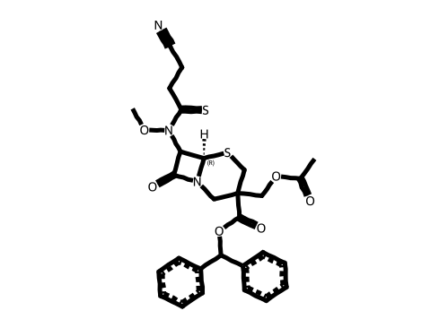 CON(C(=S)CCC#N)C1C(=O)N2CC(COC(C)=O)(C(=O)OC(c3ccccc3)c3ccccc3)CS[C@H]12